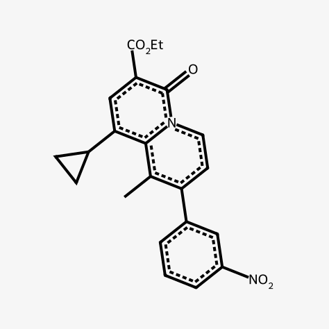 CCOC(=O)c1cc(C2CC2)c2c(C)c(-c3cccc([N+](=O)[O-])c3)ccn2c1=O